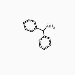 [AsH2]C(c1ccccc1)c1ccccc1